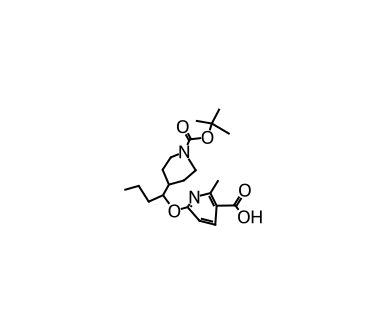 CCCC(Oc1ccc(C(=O)O)c(C)n1)C1CCN(C(=O)OC(C)(C)C)CC1